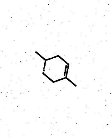 C[C]1CC=C(C)CC1